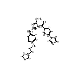 Nc1nc(Nc2ccc(OCCN3CCCC3)cc2)nn1C(=O)c1ccc(-n2ccnc2)cc1